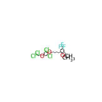 CC1(C)Cc2cc(C(F)(F)F)cc(CCCCCOc3c(Cl)cc(OCC=C(Cl)Cl)cc3Cl)c2O1